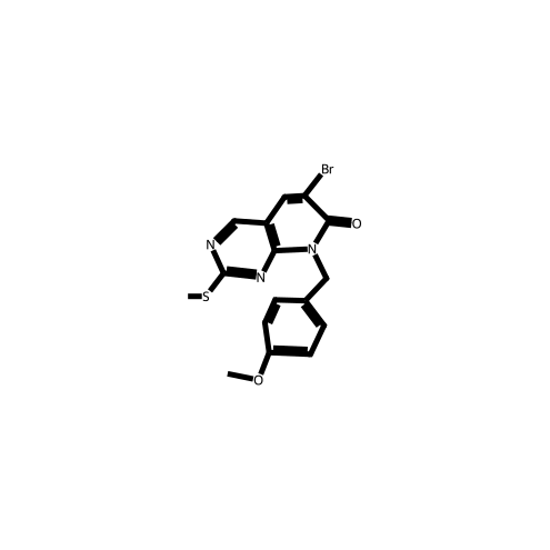 COc1ccc(Cn2c(=O)c(Br)cc3cnc(SC)nc32)cc1